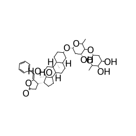 CC1O[C@H](OC2C(C)O[C@@H](O[C@H]3CC[C@@]4(C)[C@H](CC[C@@H]5[C@@H]4C[C@@H](O)[C@]4(C)[C@@H](C6CC(=O)OC6=Cc6ccccc6)CC[C@]54O)C3)C[C@H]2O)C[C@@H](O)C1O